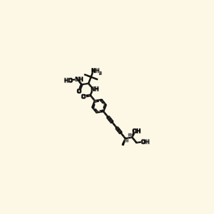 C[C@@H](C#CC#Cc1ccc(C(=O)NC(C(=O)NO)C(C)(C)N)cc1)[C@@H](O)CO